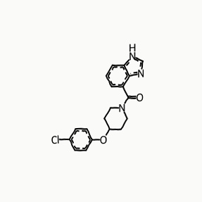 O=C(c1cccc2[nH]cnc12)N1CCC(Oc2ccc(Cl)cc2)CC1